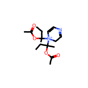 CCC(C)(OC(C)=O)[N+]1(C(C)(CC)OC(C)=O)C=CN=CC1